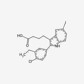 CCc1cc(-c2[nH]c3ccc(I)cc3c2CCCC(=O)O)ccc1Cl